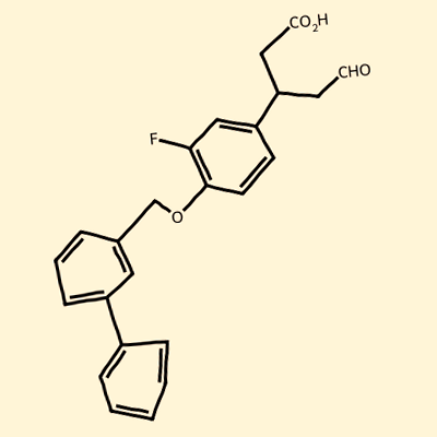 O=CCC(CC(=O)O)c1ccc(OCc2cccc(-c3ccccc3)c2)c(F)c1